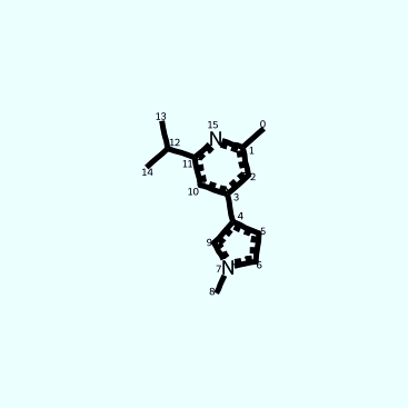 Cc1cc(-c2ccn(C)c2)cc(C(C)C)n1